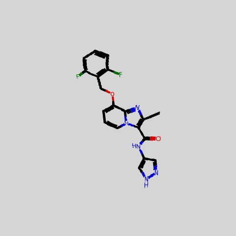 Cc1nc2c(OCc3c(F)cccc3F)cccn2c1C(=O)Nc1cn[nH]c1